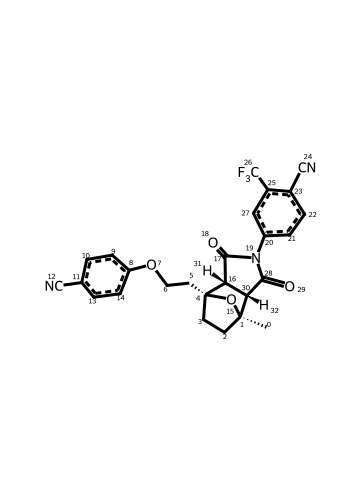 C[C@]12CC[C@](CCOc3ccc(C#N)cc3)(O1)[C@@H]1C(=O)N(c3ccc(C#N)c(C(F)(F)F)c3)C(=O)[C@@H]12